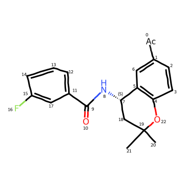 CC(=O)c1ccc2c(c1)[C@@H](NC(=O)c1cccc(F)c1)CC(C)(C)O2